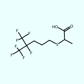 CC(SCCCC(F)(C(F)(F)F)C(F)(F)F)C(=O)O